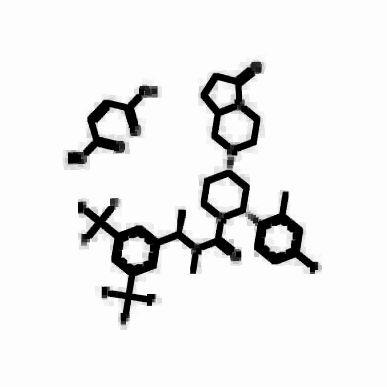 Cc1cc(F)ccc1[C@H]1C[C@@H](N2CCN3C(=O)CCC3C2)CCN1C(=O)N(C)[C@H](C)c1cc(C(F)(F)F)cc(C(F)(F)F)c1.O=C(O)/C=C\C(=O)O